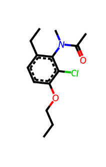 CCCOc1ccc(CC)c(N(C)C(C)=O)c1Cl